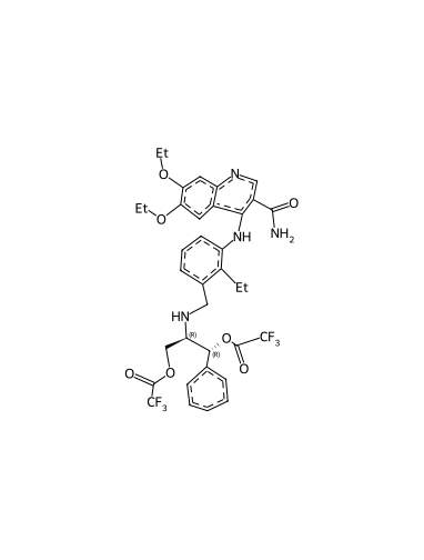 CCOc1cc2ncc(C(N)=O)c(Nc3cccc(CN[C@H](COC(=O)C(F)(F)F)[C@H](OC(=O)C(F)(F)F)c4ccccc4)c3CC)c2cc1OCC